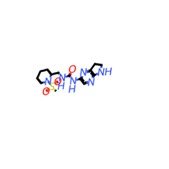 CS(=O)(=O)N1CCCCC1CNC(=O)Nc1cnc2c(n1)CCN2